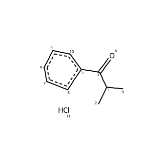 CC(C)C(=O)c1ccccc1.Cl